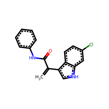 C=C(C(=O)Nc1ccccc1)c1c[nH]c2cc(Cl)ccc12